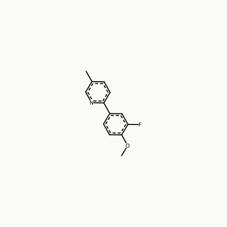 COc1ccc(-c2ccc(C)cn2)cc1F